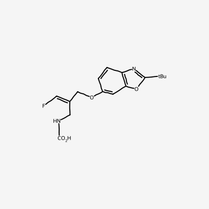 CC(C)(C)c1nc2ccc(OCC(=CF)CNC(=O)O)cc2o1